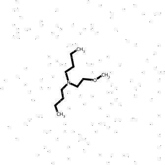 CCCCN(CCCC)CCOC